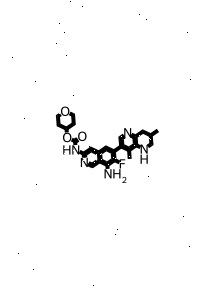 Cc1c(-c2cc3cc(NC(=O)OC4CCOCC4)ncc3c(N)c2F)cnc2c1NCC(C)C2